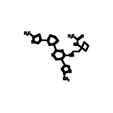 CC(=O)NC1(CCNc2nc(-c3cccc(-c4cnn(C)c4)c3)ncc2-c2cnn(C)c2)CCC1